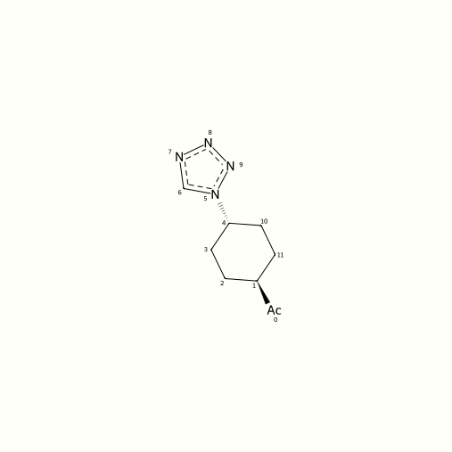 CC(=O)[C@H]1CC[C@H](n2cnnn2)CC1